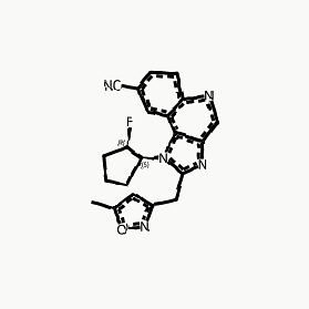 Cc1cc(Cc2nc3cnc4ccc(C#N)cc4c3n2[C@H]2CCC[C@H]2F)no1